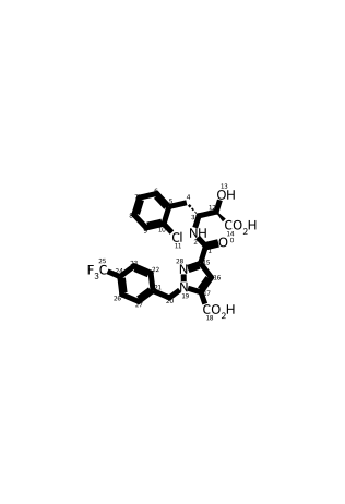 O=C(N[C@H](Cc1ccccc1Cl)[C@@H](O)C(=O)O)c1cc(C(=O)O)n(Cc2ccc(C(F)(F)F)cc2)n1